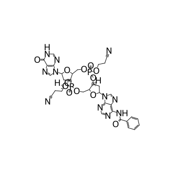 C[C@@]12CC(n3cnc4c(=O)[nH]cnc43)OC1COP(=O)(OCCC#N)O[C@H]1CC(n3cnc4c(NC(=O)c5ccccc5)ncnc43)OC1COP2(=O)OCCC#N